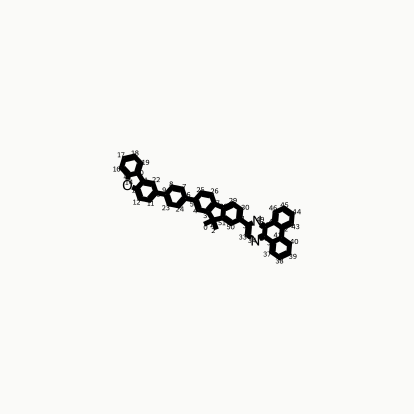 CC1(C)c2cc(-c3ccc(-c4ccc5oc6ccccc6c5c4)cc3)ccc2-c2ccc(-c3cnc4c5ccccc5c5ccccc5c4n3)cc21